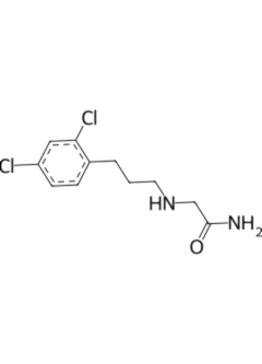 NC(=O)CNCCCc1ccc(Cl)cc1Cl